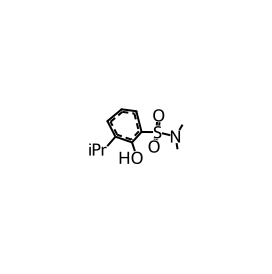 CC(C)c1cccc(S(=O)(=O)N(C)C)c1O